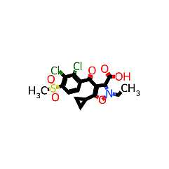 CCN1OC(C2CC2)=C(C(=O)c2ccc(S(C)(=O)=O)c(Cl)c2Cl)C1C(=O)O